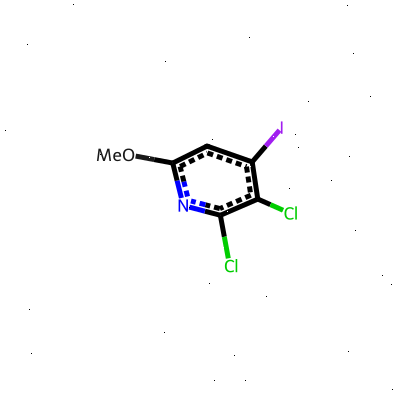 COc1cc(I)c(Cl)c(Cl)n1